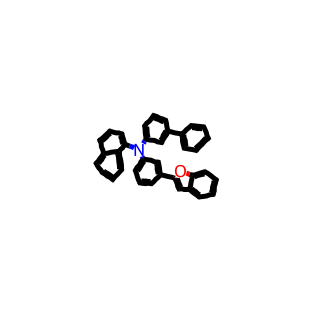 c1ccc(-c2cccc(N(c3cccc(-c4cc5ccccc5o4)c3)c3cccc4ccccc34)c2)cc1